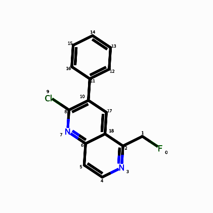 FCc1nccc2nc(Cl)c(-c3ccccc3)cc12